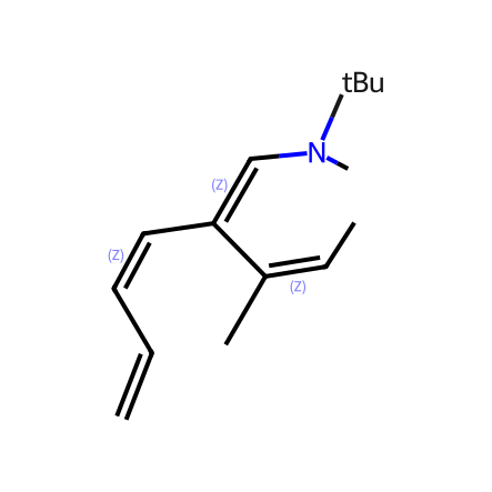 C=C\C=C/C(=C/N(C)C(C)(C)C)C(/C)=C\C